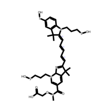 CN(OCC(=O)O)C(=O)C1=CN(CCCSO)C2N=C(/C=C/C=C/C=C3/N(CCCSO)c4ccc(SO)cc4C3(C)C)C(C)(C)C2=C1